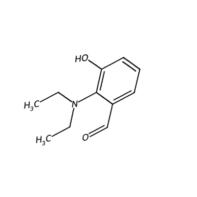 CCN(CC)c1c(O)cccc1C=O